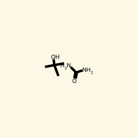 CC(C)(C)O.NC(N)=O